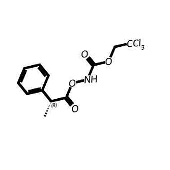 C[C@@H](C(=O)ONC(=O)OCC(Cl)(Cl)Cl)c1ccccc1